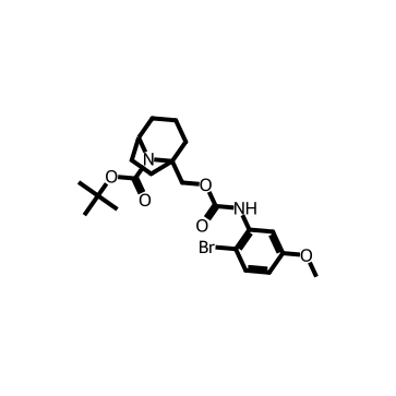 COc1ccc(Br)c(NC(=O)OCC23CCCC(CC2)N3C(=O)OC(C)(C)C)c1